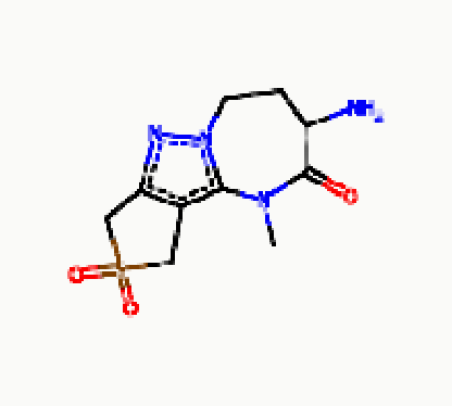 CN1C(=O)C(N)CCn2nc3c(c21)CS(=O)(=O)C3